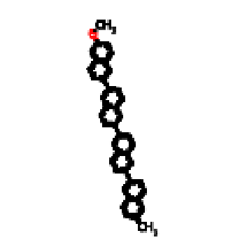 COc1ccc2cc(-c3ccc4cc(-c5ccc6cc(-c7ccc8cc(C)ccc8c7)ccc6c5)ccc4c3)ccc2c1